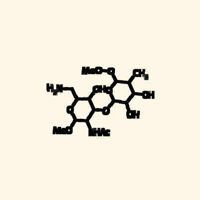 COOC1OC(OC2C(O)C(CN)OC(OC)C2NC(C)=O)C(O)C(O)C1C